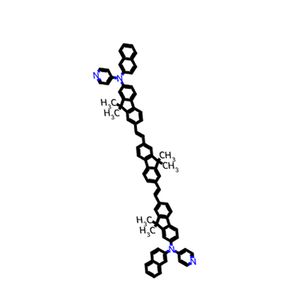 CC1(C)c2cc(/C=C/c3ccc4c(c3)C(C)(C)c3cc(N(c5ccncc5)c5ccc6ccccc6c5)ccc3-4)ccc2-c2ccc(/C=C/c3ccc4c(c3)C(C)(C)c3cc(N(c5ccncc5)c5ccc6ccccc6c5)ccc3-4)cc21